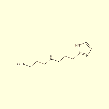 CC(C)COCCCNCCCc1ncc[nH]1